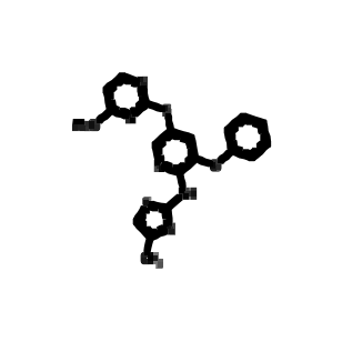 COc1ccnc(Sc2cnc(Nc3nc(C)cs3)c(Oc3ccccc3)c2)n1